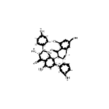 O=C1c2c(O)cc(O)cc2O[C@H](c2ccc(O)cc2)[C@H]1c1c(O)cc(O)c2c1O[C@H](c1ccc(O)cc1)[C@@H](O)C2=O